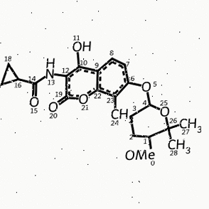 COC1CCC(Oc2ccc3c(O)c(NC(=O)C4CC4)c(=O)oc3c2C)OC1(C)C